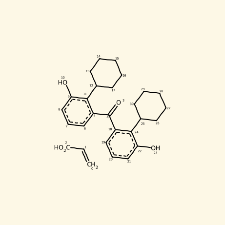 C=CC(=O)O.O=C(c1cccc(O)c1C1CCCCC1)c1cccc(O)c1C1CCCCC1